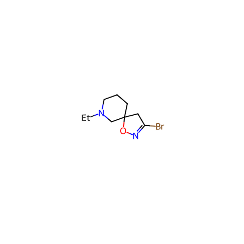 CCN1CCCC2(CC(Br)=NO2)C1